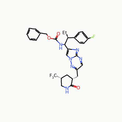 CC[C@@H](c1ccc(F)cc1)[C@H](NC(=O)OCc1ccccc1)c1cn2nc(C[C@H]3C[C@@H](C(F)(F)F)CNC3=O)cnc2n1